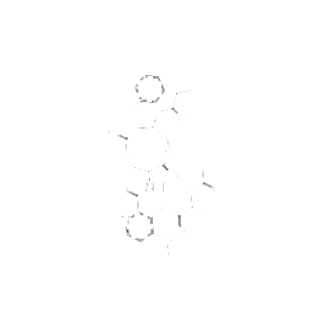 COc1ccnc(C(=O)N[C@H]2COC(=O)[C@H](Cc3ccccc3)[C@@H](OC(=O)C(C)C)[C@H](C)OC2=O)c1OC(=O)C(C)OC(C)=O